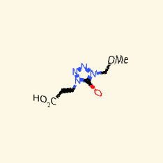 COCn1nnn(/C=C/C(=O)O)c1=O